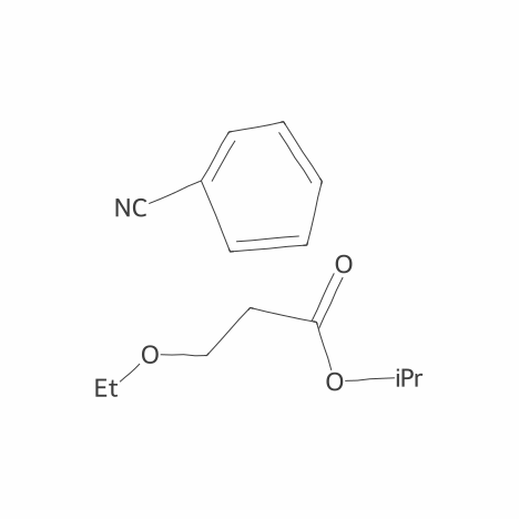 CCOCCC(=O)OC(C)C.N#Cc1ccccc1